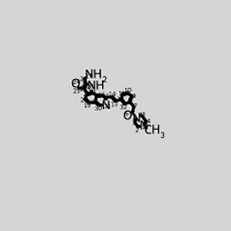 CN1CCN(C(=O)Cc2cccc(/C=C/c3cc4c(ccc5c(C=O)c(CN)[nH]c54)cn3)c2)CC1